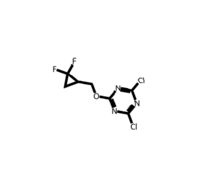 FC1(F)CC1COc1nc(Cl)nc(Cl)n1